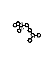 c1ccc(-c2cc(-c3ccc(-c4cccc(-c5nc6ccc7ccccc7c6c6c5oc5ccccc56)c4)cc3)nc(-c3ccccc3)n2)cc1